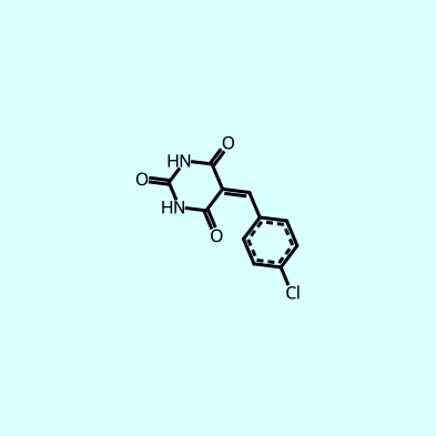 O=C1NC(=O)C(=Cc2ccc(Cl)cc2)C(=O)N1